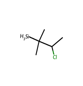 CC(Cl)C(C)(C)[SiH3]